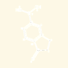 O=C1CCc2cc(B(O)O)ccc21